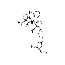 CC(C)(F)CN1CCC(COc2ccc(-c3cccc(F)c3C(=O)N3CCC[C@@]3(C)C(N)=O)cc2C#N)CC1